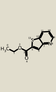 CCOC(=O)c1cc2ncccc2s1